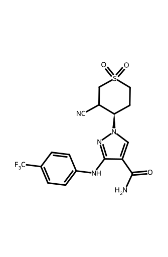 N#CC1CS(=O)(=O)CC[C@H]1n1cc(C(N)=O)c(Nc2ccc(C(F)(F)F)cc2)n1